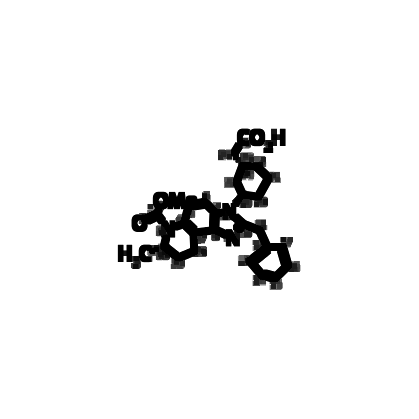 COC(=O)N1c2ccc3c(nc(Cc4ccccc4)n3[C@@H]3CCC[C@@H](CC(=O)O)C3)c2CC[C@@H]1C